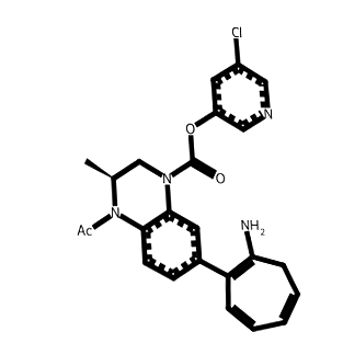 CC(=O)N1c2ccc(C3=C(N)CC=CC=C3)cc2N(C(=O)Oc2cncc(Cl)c2)C[C@@H]1C